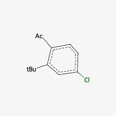 CC(=O)c1ccc(Cl)cc1C(C)(C)C